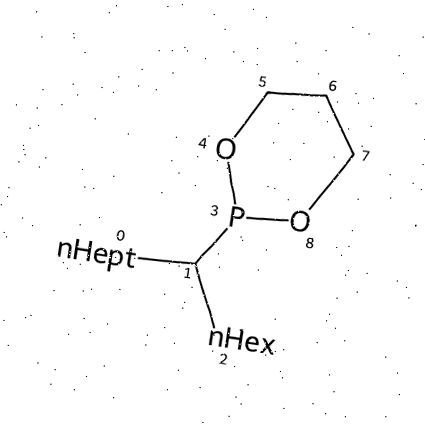 CCCCCCCC(CCCCCC)P1OCCCO1